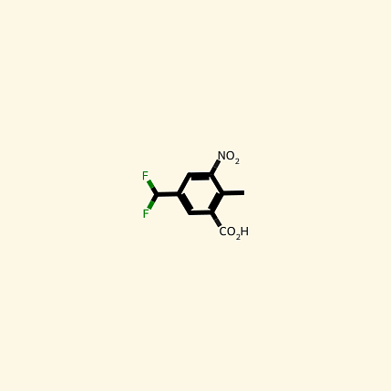 Cc1c(C(=O)O)cc(C(F)F)cc1[N+](=O)[O-]